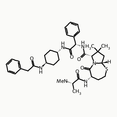 CN[C@@H](C)C(=O)N[C@H]1CCS[C@H]2CC(C)(C)[C@@H](C(=O)N[C@H](C(=O)N[C@H]3CC[C@H](NC(=O)Cc4ccccc4)CC3)c3ccccc3)N2C1=O